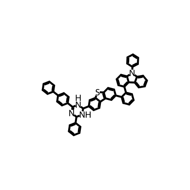 c1ccc(-c2ccc(C3=NC(c4ccccc4)NC(c4ccc5c(c4)sc4ccc(-c6ccccc6-c6cccc7c6c6ccccc6n7-c6ccccc6)cc45)N3)cc2)cc1